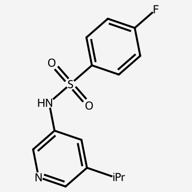 CC(C)c1cncc(NS(=O)(=O)c2ccc(F)cc2)c1